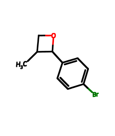 CC1COC1c1ccc(Br)cc1